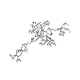 C=C(O)[C@H](C)CC1CC[C@@H]2O[C@@H](CCN/C=C/[C@@H](CO[C@H]3CCC(CCO[Si](CC)(CC)CC)O[C@@H]3[C@@H](CO[Si](C)(C)C(C)(C)C)O[Si](C)(C)C(C)(C)C)O[Si](C)(C)C(C)(C)C)CC2(CI)O1